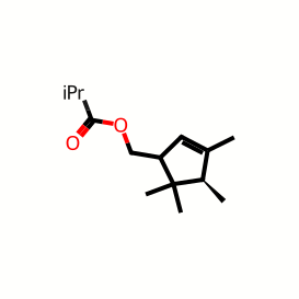 CC1=CC(COC(=O)C(C)C)C(C)(C)[C@@H]1C